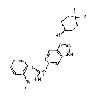 C[C@@H](NC(=O)Nc1cc2[nH]nc(NC3CCC(F)(F)CC3)c2cn1)c1ccccc1